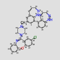 C1=Cc2ccccc2NN=C1.C1=Cc2ccccc2NN=C1.CN1CCN(C2=Nc3ccccc3Oc3ccc(Cl)cc32)CC1